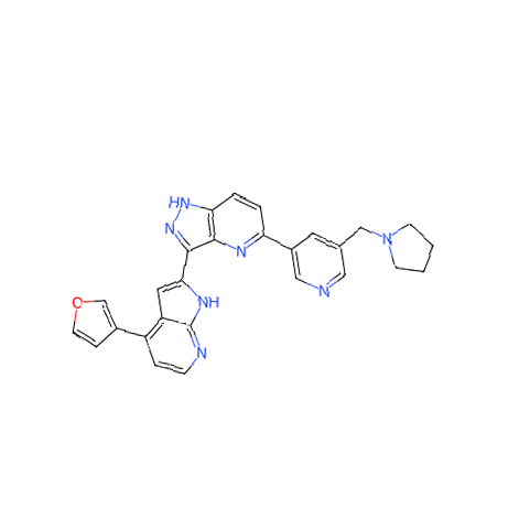 c1cc(-c2ccoc2)c2cc(-c3n[nH]c4ccc(-c5cncc(CN6CCCC6)c5)nc34)[nH]c2n1